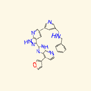 c1ccc(CNCc2cncc(-c3cnc4[nH]nc(-c5nc6c(-c7ccoc7)ccnc6[nH]5)c4c3)c2)cc1